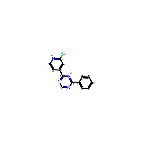 Clc1cc(-c2ncnc(-c3ccccc3)n2)ccn1